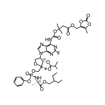 C#C[C@]1(COP(=O)(N[C@@H](C)C(=O)OCC(CC)CC)Oc2ccccc2)OCC(n2cnc3c(NC(=O)OC(C)(C)CC(=O)OCc4oc(=O)oc4C)nc(F)nc32)[C@@H]1OC(=O)C(C)C